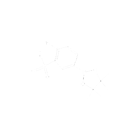 CC1(C)OB(c2ccc(F)c(S(=O)(=O)Cl)c2)OC1(C)C